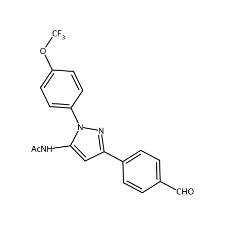 CC(=O)Nc1cc(-c2ccc(C=O)cc2)nn1-c1ccc(OC(F)(F)F)cc1